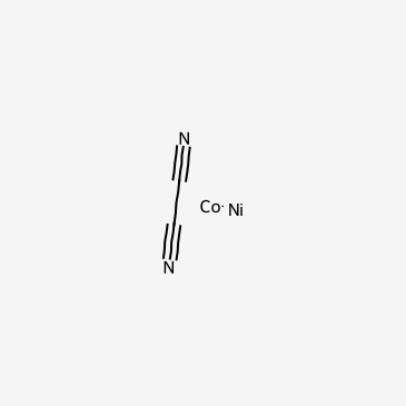 N#CC#N.[Co].[Ni]